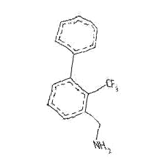 NCc1cccc(-c2ccccc2)c1C(F)(F)F